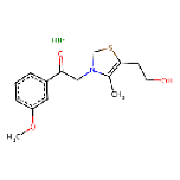 Br.COc1cccc(C(=O)CN2CSC(CCO)=C2C)c1